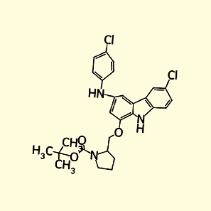 CC(C)(C)OC(=O)N1CCCC1COc1cc(Nc2ccc(Cl)cc2)cc2c1[nH]c1ccc(Cl)cc12